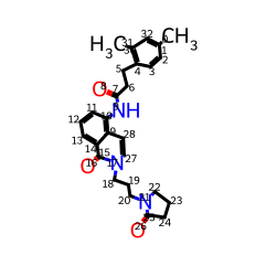 Cc1ccc(CCC(=O)Nc2cccc3c(=O)n(CCCN4CCCC4=O)ccc23)c(C)c1